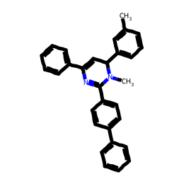 Cc1cccc(C2C=C(c3ccccc3)N=C(c3ccc(-c4ccccc4)cc3)N2C)c1